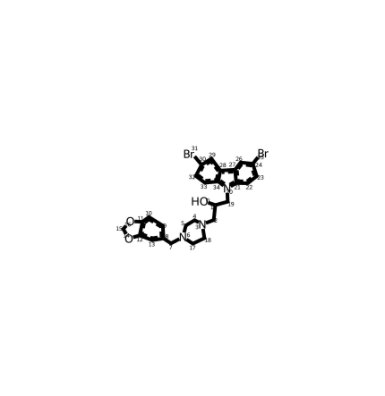 OC(CN1CCN(Cc2ccc3c(c2)OCO3)CC1)Cn1c2ccc(Br)cc2c2cc(Br)ccc21